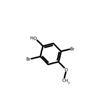 COc1cc(Br)c(O)cc1Br